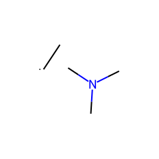 CN(C)C.[CH2]C